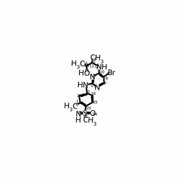 Cc1cc(Nc2ncc(Br)c(N[C@H](C)[C@@H](C)O)n2)ccc1S(C)(=N)=O